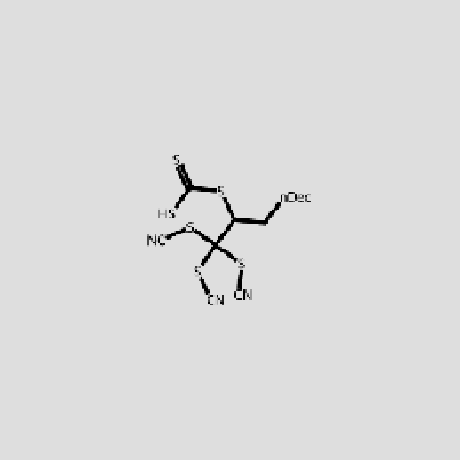 CCCCCCCCCCCC(SC(=S)S)C(SC#N)(SC#N)SC#N